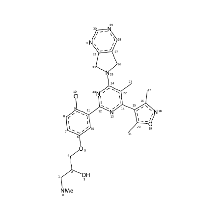 CNCC(O)COc1ccc(Cl)c(-c2nc(-c3c(C)noc3C)c(C)c(N3Cc4cncnc4C3)n2)c1